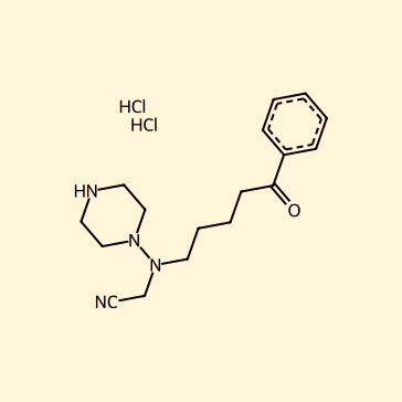 Cl.Cl.N#CCN(CCCCC(=O)c1ccccc1)N1CCNCC1